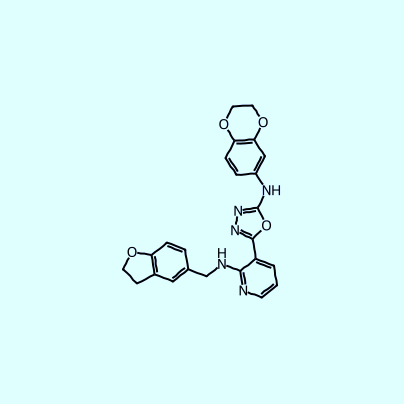 c1cnc(NCc2ccc3c(c2)CCO3)c(-c2nnc(Nc3ccc4c(c3)OCCO4)o2)c1